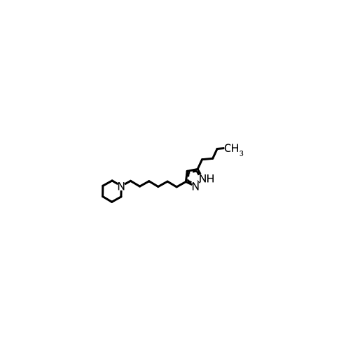 CCCCc1cc(CCCCCCN2CCCCC2)n[nH]1